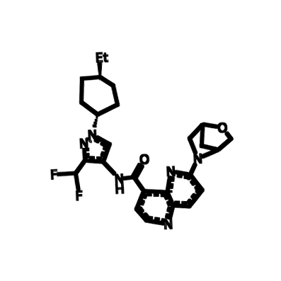 CC[C@H]1CC[C@H](n2cc(NC(=O)c3ccnc4ccc(N5CC6CC5CO6)nc34)c(C(F)F)n2)CC1